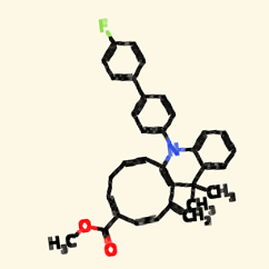 C=C1/C=C\C(C(=O)OC)=C/C/C=C\C2=C1C(C)(C)c1ccccc1N2c1ccc(-c2ccc(F)cc2)cc1